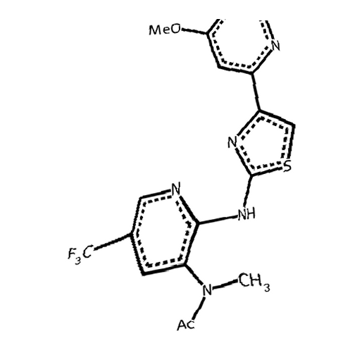 COc1ccnc(-c2csc(Nc3ncc(C(F)(F)F)cc3N(C)C(C)=O)n2)c1